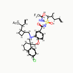 C=CCC(C)C(C)S(=O)(=NC(=O)c1ccc2c(c1)N(CC1CCC1C(C=C)OC(C)=O)CC1(CCCc3cc(Cl)ccc31)CO2)NC(=O)C(F)(F)F